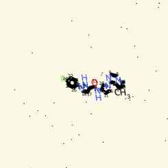 Cc1ccn2ccnc(N3CCC(NC(=O)C4C=CN(c5ccc(F)cc5)N4)C3)c12